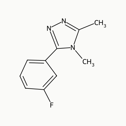 Cc1nnc(-c2cccc(F)c2)n1C